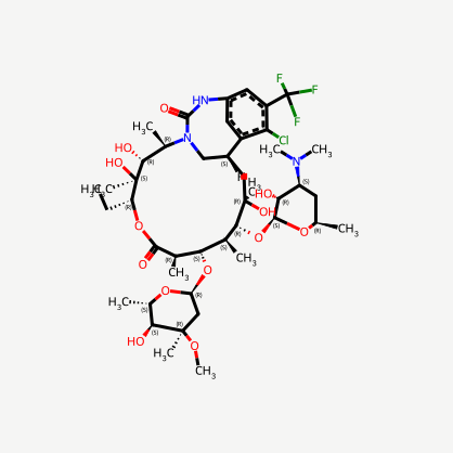 CC[C@H]1OC(=O)[C@H](C)[C@@H](O[C@H]2C[C@@](C)(OC)[C@@H](O)[C@H](C)O2)[C@H](C)[C@@H](O[C@@H]2O[C@H](C)C[C@H](N(C)C)[C@H]2O)[C@](C)(O)C[C@@H]2CN(C(=O)Nc3cc2c(Cl)c(C(F)(F)F)c3)[C@H](C)[C@@H](O)[C@]1(C)O